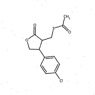 CC(=O)SCC1C(=O)OCC1c1ccc(Cl)cc1